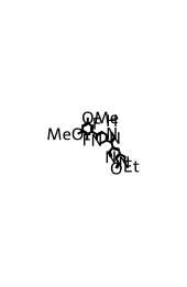 CCN1Cc2cc(-c3n[nH]c4cc(-c5c(F)c(OC)cc(OC)c5F)ncc34)cnc2C1=O